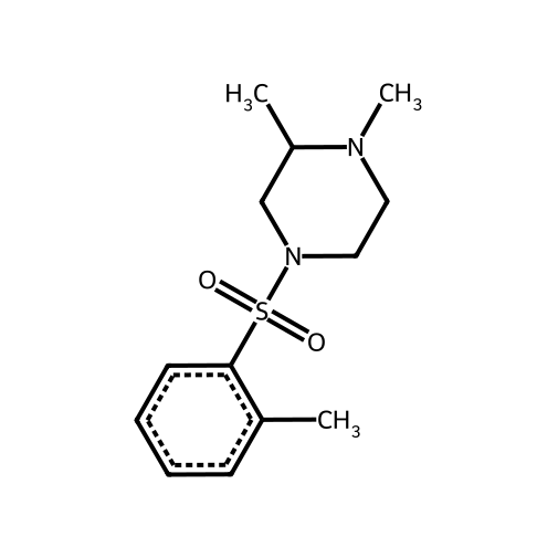 Cc1ccccc1S(=O)(=O)N1CCN(C)C(C)C1